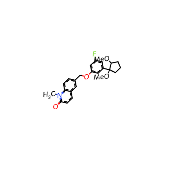 COC1CCCC1(OC)c1cc(F)cc(OCc2ccc3c(ccc(=O)n3C)c2)c1